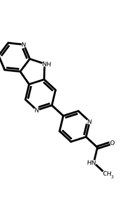 CNC(=O)c1ccc(-c2cc3[nH]c4ncccc4c3cn2)cn1